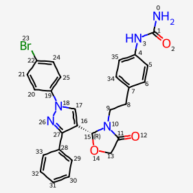 NC(=O)Nc1ccc(CCN2C(=O)CO[C@@H]2c2cn(-c3ccc(Br)cc3)nc2-c2ccccc2)cc1